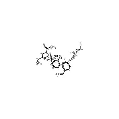 C=Cc1ccccc1.CC(C)=O.CC(C)O.CCCCCC.CCCCCC(C)=O.CCCCCCO.CCO.Cc1ccccc1.ClCCl